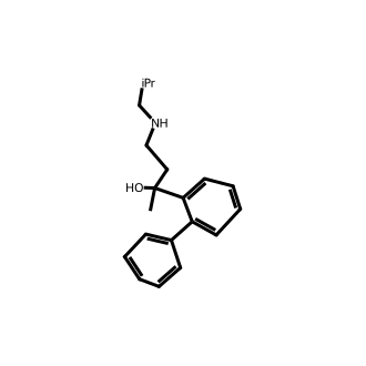 CC(C)CNCCC(C)(O)c1ccccc1-c1ccccc1